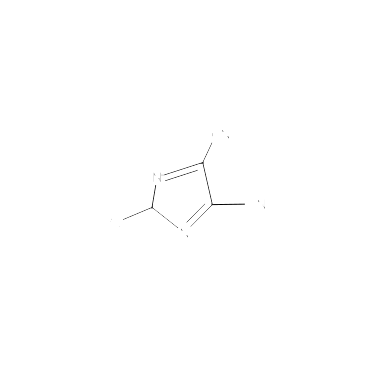 CCC(C)C1N=C(C#N)C(C#N)=N1